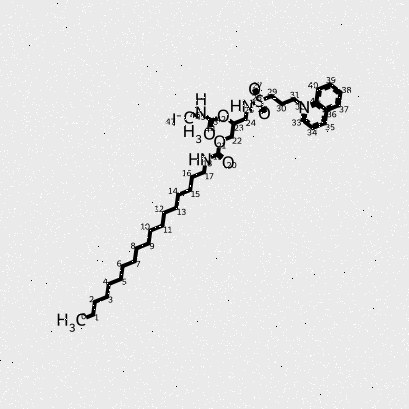 CCCCCCCCCCCCCCCCCCNC(=O)OCC(CNS(=O)(=O)CCC[n+]1cccc2ccccc21)OC(=O)NC.[I-]